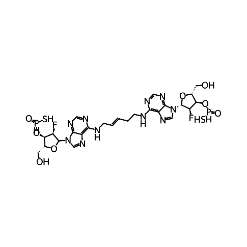 O=[PH](S)O[C@@H]1[C@@H](CO)OC(n2cnc3c(NC/C=C/CCNc4ncnc5c4ncn5[C@@H]4O[C@H](CO)[C@@H](O[PH](=O)S)[C@H]4F)ncnc32)[C@@H]1F